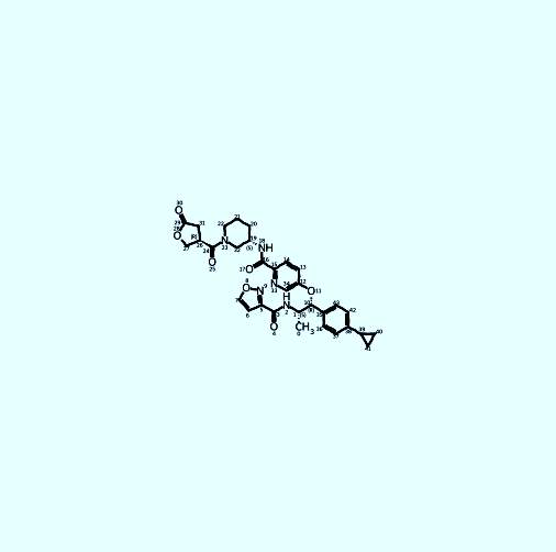 C[C@H](NC(=O)c1ccon1)[C@H](Oc1ccc(C(=O)N[C@H]2CCCN(C(=O)[C@H]3COC(=O)C3)C2)nc1)c1ccc(C2CC2)cc1